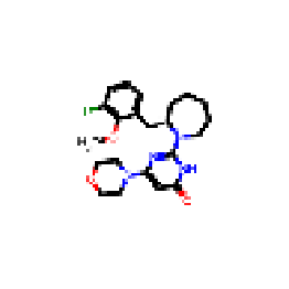 COc1c(F)cccc1C[C@H]1CCCCCN1c1nc(N2CCOCC2)cc(=O)[nH]1